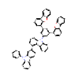 c1ccc(-n2c3ccccc3c3ccc(-c4cccc5c4c4ccccc4n5-c4cc(-c5cccc6c5oc5ccccc56)cc(-c5cccc6c5oc5ccccc56)c4)cc32)cc1